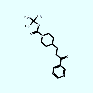 CC(C)(C)OC(=O)N1CCC(CCC(=O)c2cccnc2)CC1